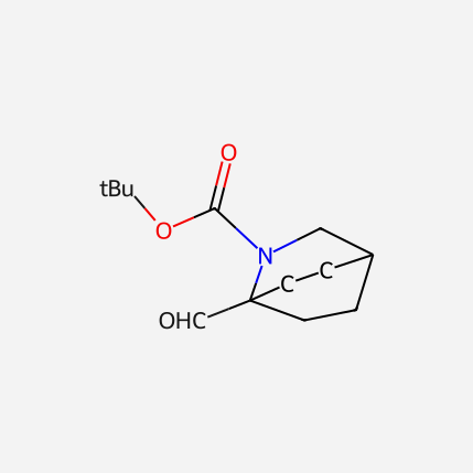 CC(C)(C)OC(=O)N1CC2CCC1(C=O)CC2